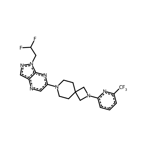 FC(F)Cn1ncc2ncc(N3CCC4(CC3)CN(c3cccc(C(F)(F)F)n3)C4)nc21